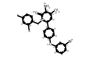 Cc1ccc(Cn2c(-c3ccc(Oc4cccc(Br)c4)cc3)cc(C(F)(F)F)c(N)c2=O)c(C)c1